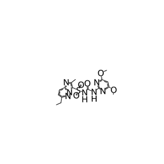 CCc1ccc2nc(C)c(S(=O)(=O)NC(=O)Nc3nc(OC)cc(OC)n3)n2n1